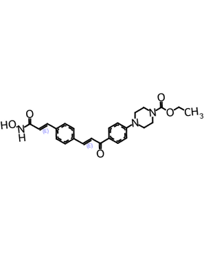 CCOC(=O)N1CCN(c2ccc(C(=O)/C=C/c3ccc(/C=C/C(=O)NO)cc3)cc2)CC1